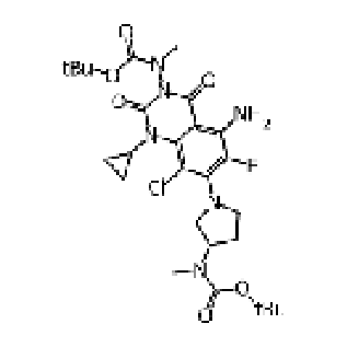 CN(C(=O)OC(C)(C)C)C1CCN(c2c(F)c(N)c3c(=O)n(N(C)C(=O)OC(C)(C)C)c(=O)n(C4CC4)c3c2Cl)C1